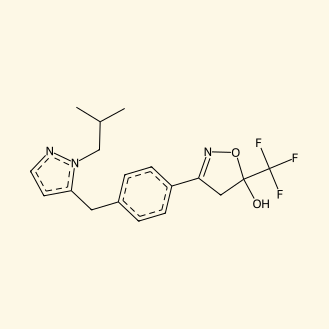 CC(C)Cn1nccc1Cc1ccc(C2=NOC(O)(C(F)(F)F)C2)cc1